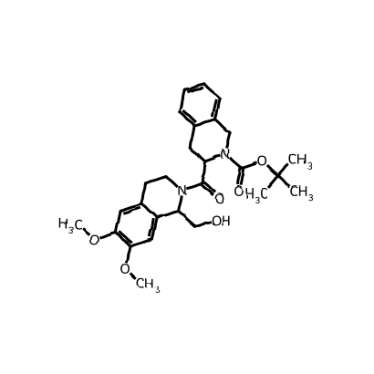 COc1cc2c(cc1OC)C(CO)N(C(=O)C1Cc3ccccc3CN1C(=O)OC(C)(C)C)CC2